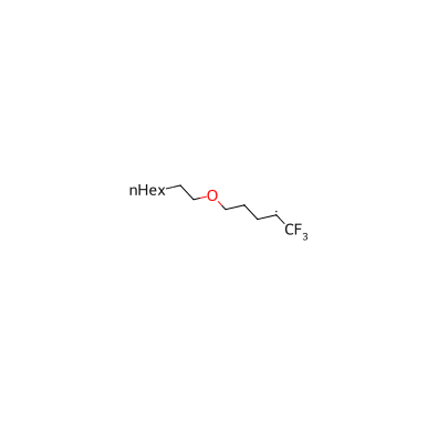 CCCCCCCCOCCC[CH]C(F)(F)F